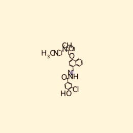 CN1CCC(N(C)C(=O)COc2ccc(/C=N/NC(=O)c3ccc(O)c(Cl)c3)c3ccccc23)C1